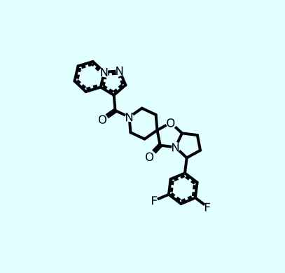 O=C(c1cnn2ccccc12)N1CCC2(CC1)OC1CCC(c3cc(F)cc(F)c3)N1C2=O